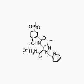 CCc1nn(Cc2ccccn2)c(C(N)=O)c1NC(=O)c1cc(S(C)(=O)=O)ccc1OCCOC